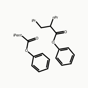 CCCC(C)C(=O)Oc1ccccc1.CCCC(CC(C)C)C(=O)Oc1ccccc1